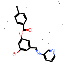 Cc1ccc(C(=O)Oc2cc(Br)cc(C=Nc3cccnc3)c2)cc1